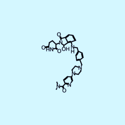 CN(C)C(=O)c1ccc(N2CCN(Cc3ccc(CNc4cccc5c4C(O)N(C4CCC(=O)NC4=O)C5=O)cc3)CC2)cn1